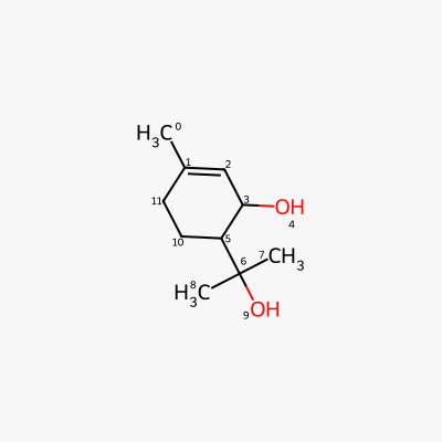 CC1=CC(O)C(C(C)(C)O)CC1